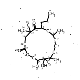 CCCC1CC(C)CCCC2(C)OC2(O)C(O)COC(=O)CCC(C)(C)C1=O